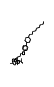 CCCCCCCCCC1CCC(c2ccc(OCCC[SiH](OC(C)C)OC(C)C)cc2)CC1